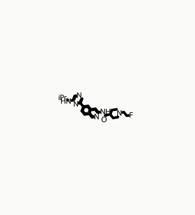 CC(C)Nc1cncc(-c2ccc3cnc(NC(=O)C4CCN(CCF)CC4)cc3c2)n1